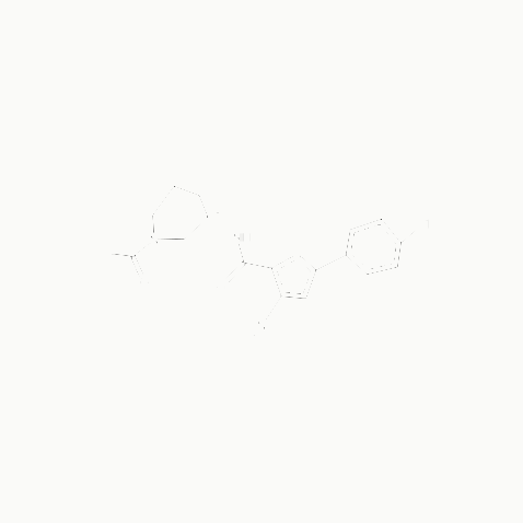 Nc1cc(-c2ccc(Cl)cc2)sc1C(=O)N[C@H]1CCCN(C(=O)O)C1